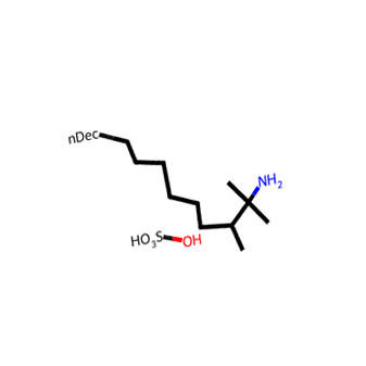 CCCCCCCCCCCCCCCCC(C)C(C)(C)N.O=S(=O)(O)O